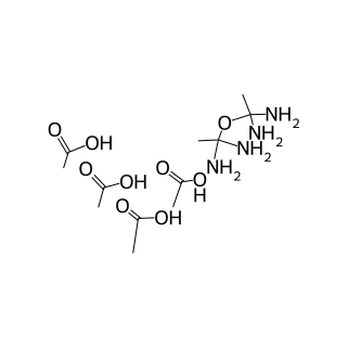 CC(=O)O.CC(=O)O.CC(=O)O.CC(=O)O.CC(N)(N)OC(C)(N)N